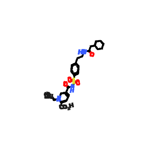 CC(C)(C)CN1CC(C(=O)NS(=O)(=O)c2ccc(CCNC(=O)CC3CCCCC3)cc2)=CC=C1C(=O)O